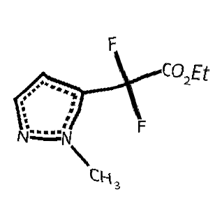 CCOC(=O)C(F)(F)c1ccnn1C